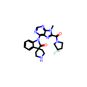 Cn1c(C(=O)N2CC[C@H](F)C2)nc2c(N3C(=O)C4(CCNCC4)c4ccccc43)ncnc21